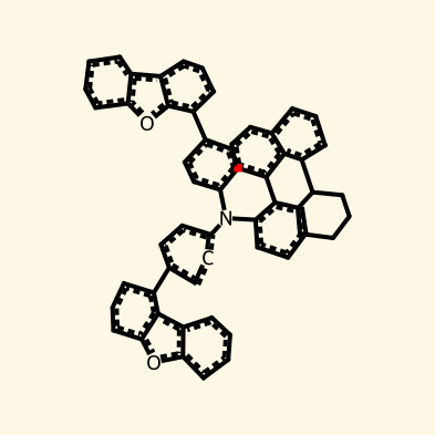 c1ccc(N(c2ccc(-c3cccc4c3oc3ccccc34)cc2)c2ccc(-c3cccc4oc5ccccc5c34)cc2)c(-c2cccc3cccc(C4CCCCC4)c23)c1